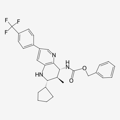 C[C@@H]1[C@@H](NC(=O)OCc2ccccc2)c2ncc(-c3ccc(C(F)(F)F)cc3)cc2N[C@H]1C1CCCC1